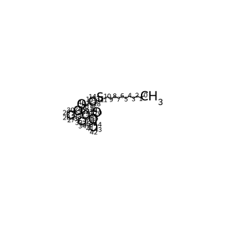 CCCCCCCCCCCCSc1ccc2c(c1)C(=O)c1c(c(Oc3ccccc3)c3ccccc3c1Oc1ccccc1)C2=O